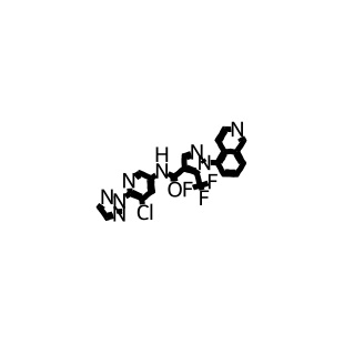 O=C(Nc1cnc(-n2nccn2)c(Cl)c1)c1cnn(-c2cccc3cnccc23)c1C(F)(F)F